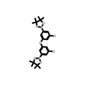 CC1(C)OB(c2cc(Cl)cc(Oc3cc(Cl)cc(B4OC(C)(C)C(C)(C)O4)c3)c2)OC1(C)C